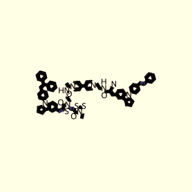 C=C(NOCCn1c(=O)/c(=C\c2ccc3c(c2)C2CCCC2N3c2ccc(C=C(c3ccccc3)c3ccccc3)cc2)s/c1=C1/SC(=S)N(CC)C1=O)[n+]1ccc(-c2cc[n+](CCNC(=O)C(C#N)=Cc3ccc4c(c3)C3CCCC3N4c3ccc(/C=C/c4ccccc4)cc3)cc2)cc1